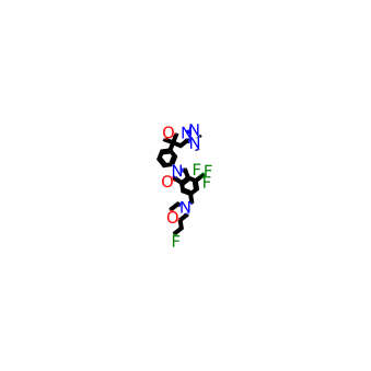 Cn1cnnc1CC1(c2cccc(N3Cc4c(cc(CN5CCOC(CCF)C5)cc4C(F)(F)F)C3=O)c2)COC1